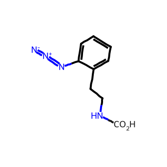 [N-]=[N+]=Nc1ccccc1CCNC(=O)O